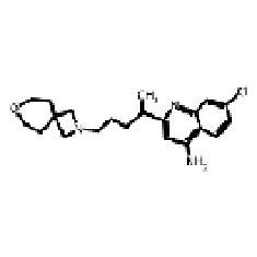 CC(CCCN1CC2(CCOCC2)C1)c1cc(N)c2ccc(Cl)cc2n1